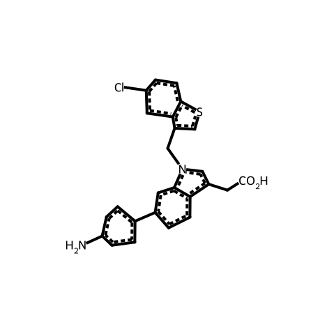 Nc1ccc(-c2ccc3c(CC(=O)O)cn(Cc4csc5ccc(Cl)cc45)c3c2)cc1